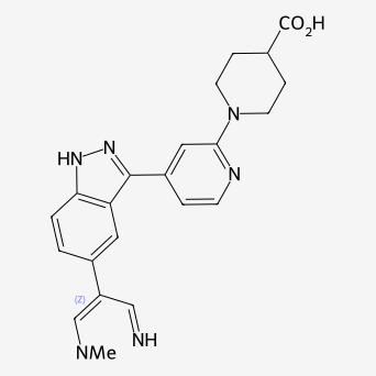 CN/C=C(\C=N)c1ccc2[nH]nc(-c3ccnc(N4CCC(C(=O)O)CC4)c3)c2c1